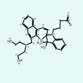 CC1(C)c2ccccc2N(CCCC(=O)F)C12C=Nc1c(c(CN(CCO)CCO)cc3ccccc13)O2